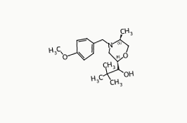 COc1ccc(CN2C[C@H](C(O)C(C)(C)C)OC[C@@H]2C)cc1